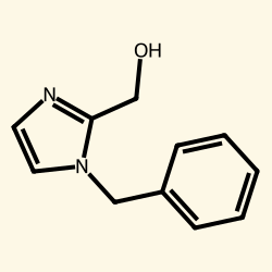 OCc1nccn1Cc1ccccc1